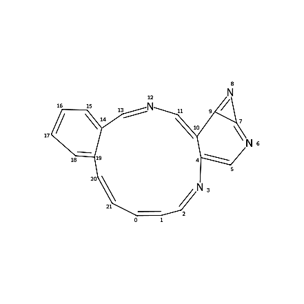 c1ccnc2cnc3nc3c2cncc2ccccc2cc1